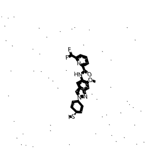 COc1cc2nn([C@H]3CC[C@H](SI)CC3)cc2cc1NC(=O)c1cccc(C(F)F)n1